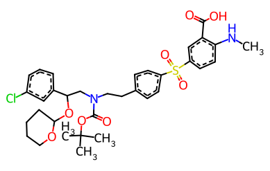 CNc1ccc(S(=O)(=O)c2ccc(CCN(CC(OC3CCCCO3)c3cccc(Cl)c3)C(=O)OC(C)(C)C)cc2)cc1C(=O)O